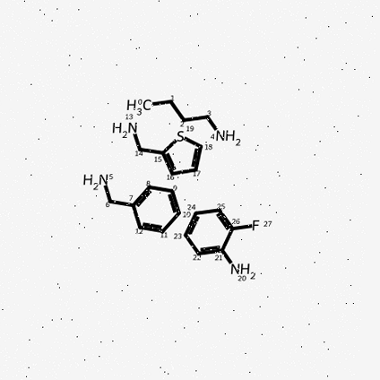 CCCCN.NCc1ccccc1.NCc1cccs1.Nc1ccccc1F